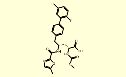 COC(=O)N[C@H](C[C@@H](Cc1ccc(-c2cc(Cl)ccc2F)cc1)NC(=O)c1ncc(C)o1)C(=O)O